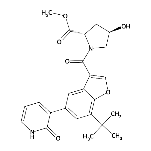 COC(=O)[C@@H]1C[C@@H](O)CN1C(=O)c1coc2c(C(C)(C)C)cc(-c3ccc[nH]c3=O)cc12